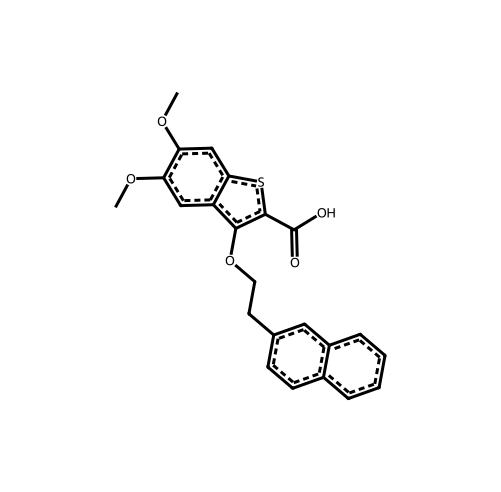 COc1cc2sc(C(=O)O)c(OCCc3ccc4ccccc4c3)c2cc1OC